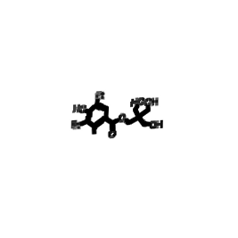 CCc1cc(C(=O)OCC(CO)(CO)CO)c(C)c(CC)c1O